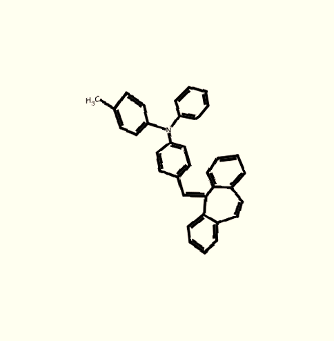 Cc1ccc(N(c2ccccc2)c2ccc(C=C3c4ccccc4C=Cc4ccccc43)cc2)cc1